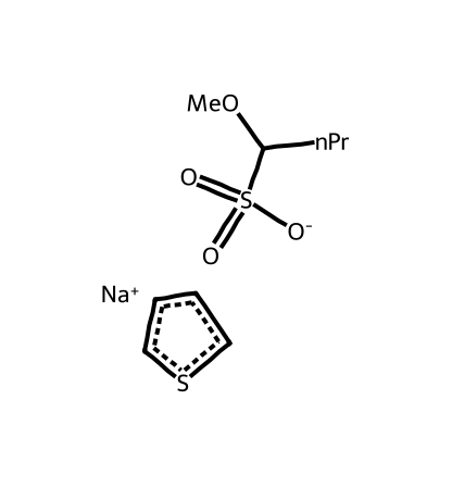 CCCC(OC)S(=O)(=O)[O-].[Na+].c1ccsc1